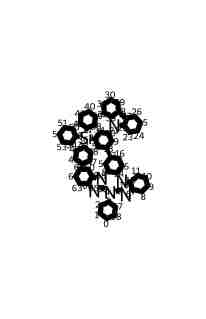 c1ccc(-n2c3nc4ccccc4n3c3ccc(-c4cc(-n5c6ccccc6c6ccccc65)cc([Si](c5ccccc5)(c5ccccc5)c5ccccc5)c4)cc3n3c4ccccc4nc23)cc1